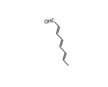 C/C=C/C=C/C=C/C=O